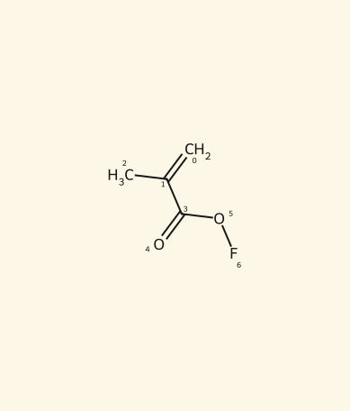 C=C(C)C(=O)OF